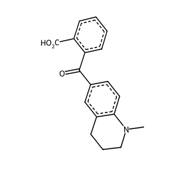 CN1CCCc2cc(C(=O)c3ccccc3C(=O)O)ccc21